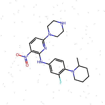 CC1CCCCN1c1ccc(Nc2nc(N3CCNCC3)ccc2[N+](=O)[O-])cc1F